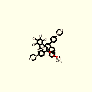 COc1ccc(C(=CC2(C=C(c3ccc(OC)cc3)c3ccc(N4CCOCC4)cc3)OC(=O)c3c(Cl)c(Cl)c(Cl)c(Cl)c32)c2ccc(N3CCOCC3)cc2)cc1